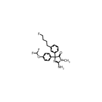 CN1C(=O)C(c2ccc(OC(F)F)cc2)(c2cccc(CCCCF)c2)N=C1N